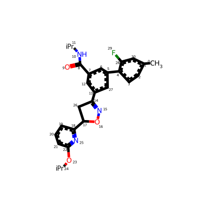 Cc1ccc(-c2cc(C(=O)NC(C)C)cc(C3=NOC(c4cccc(OC(C)C)n4)C3)c2)c(F)c1